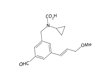 COC/C=C/c1cc(C=O)cc(CN(C(=O)O)C2CC2)c1